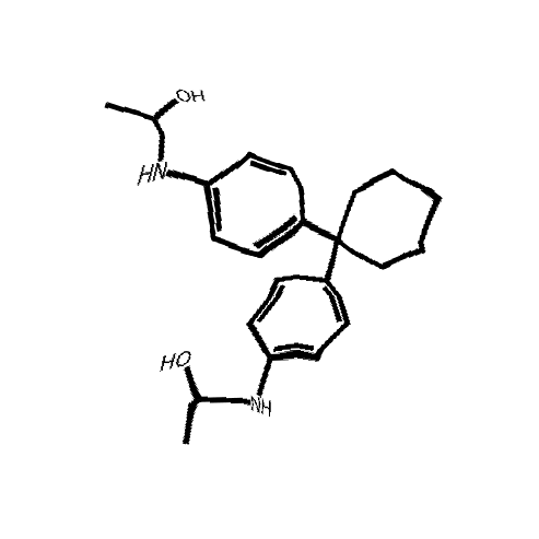 CC(O)Nc1ccc(C2(c3ccc(NC(C)O)cc3)CCCCC2)cc1